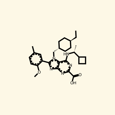 CC[C@H]1CC[C@H](Cn2c(-c3cc(C)ccc3OC)nc3nc(C(=O)O)nc(N[C@H](C)C4CCC4)c32)CC1